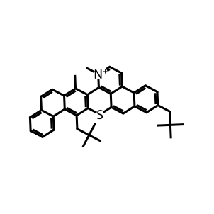 Cc1c2c(c(CC(C)(C)C)c3c1ccc1ccccc13)Sc1cc3cc(CC(C)(C)C)ccc3c3cc[n+](C)c-2c13